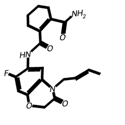 C/C=C/CN1C(=O)COc2cc(F)c(NC(=O)C3=C(C(N)=O)CCCC3)cc21